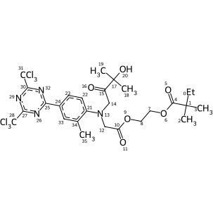 CCC(C)(C)C(=O)OCCOC(=O)CN(CC(=O)C(C)(C)O)c1ccc(-c2nc(C(Cl)(Cl)Cl)nc(C(Cl)(Cl)Cl)n2)cc1C